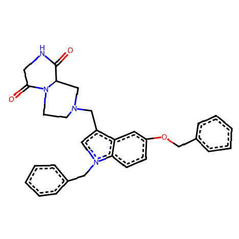 O=C1NCC(=O)N2CCN(Cc3cn(Cc4ccccc4)c4ccc(OCc5ccccc5)cc34)CC12